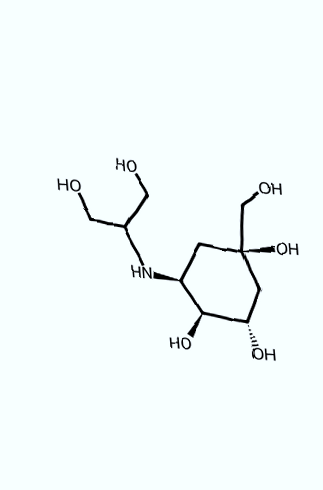 OCC(CO)N[C@H]1C[C@](O)(CO)C[C@H](O)[C@H]1O